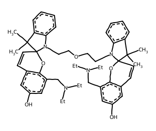 CCN(CC)Cc1cc(O)cc2c1OC1(C=C2)N(CCOCCN2c3ccccc3C(C)(C)C23C=Cc2cc(O)cc(CN(CC)CC)c2O3)c2ccccc2C1(C)C